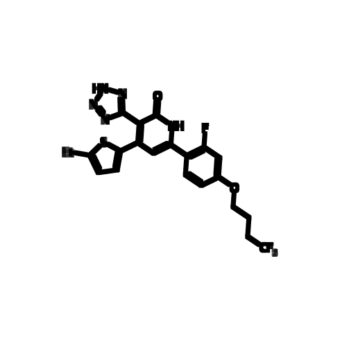 CCc1ccc(-c2cc(-c3ccc(OCCCC(F)(F)F)cc3F)[nH]c(=O)c2-c2nn[nH]n2)s1